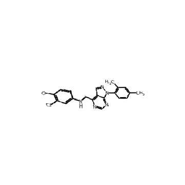 Cc1ccc(-n2ncc3c(CNc4ccc(Cl)c(Cl)c4)ncnc32)c(C)c1